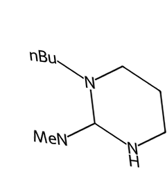 CCCCN1CCCNC1NC